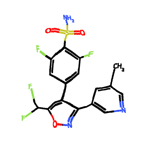 Cc1cncc(-c2noc(C(F)F)c2-c2cc(F)c(S(N)(=O)=O)c(F)c2)c1